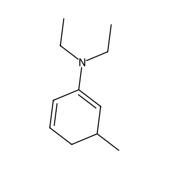 CCN(CC)C1=CC(C)CC=C1